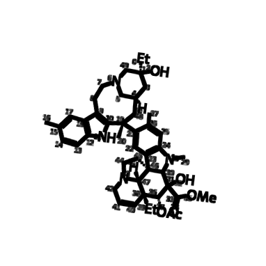 CC[C@]1(O)C[C@@H]2CN(CCc3c([nH]c4ccc(C)cc34)[C@@](C)(c3cc4c(cc3C)N(C)C3C(O)(C(=O)OC)[C@H](OC(C)=O)[C@]5(CC)C=CCN6CC[C@]43[C@@H]65)C2)C1